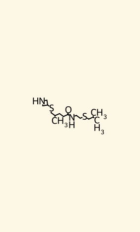 CC(C)CSCCNC(=O)CCC(C)CSC1CNC1